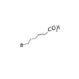 O=C(O)C=CCCCBr